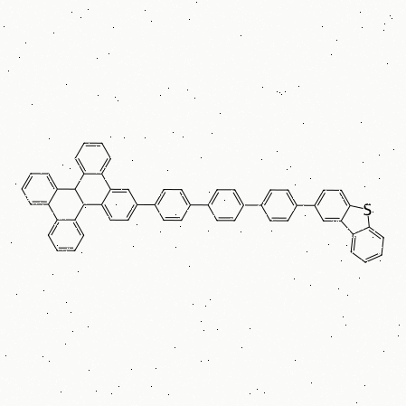 c1ccc2c(c1)-c1ccccc1C1c3ccc(-c4ccc(-c5ccc(-c6ccc(-c7ccc8sc9ccccc9c8c7)cc6)cc5)cc4)cc3-c3ccccc3C21